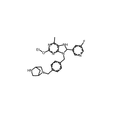 CCOc1nc(C)c2c(n1)N(Cc1ccc(CN3CC4CC3CN4)cc1)C(c1cncc(F)c1)N2